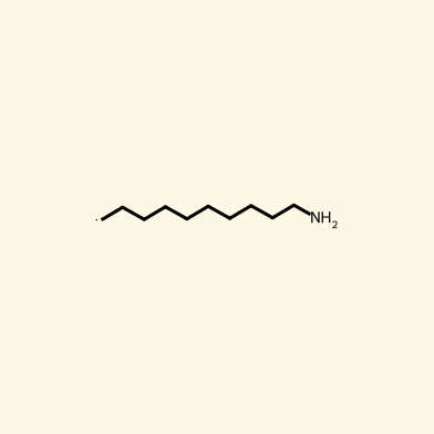 [CH2]CCCCCCCCCN